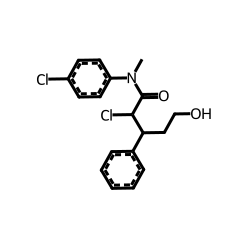 CN(C(=O)C(Cl)C(CCO)c1ccccc1)c1ccc(Cl)cc1